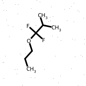 CCCOC(F)(F)C(C)C